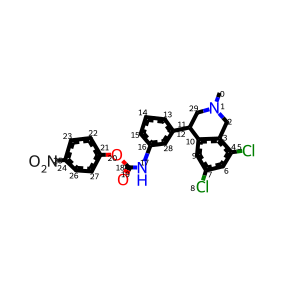 CN1Cc2c(Cl)cc(Cl)cc2C(c2cccc(NC(=O)Oc3ccc([N+](=O)[O-])cc3)c2)C1